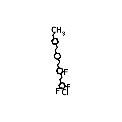 CCCc1ccc(CCC2CCC(CCc3ccc(CCc4cc(F)c(Cl)c(F)c4)c(F)c3)CC2)cc1